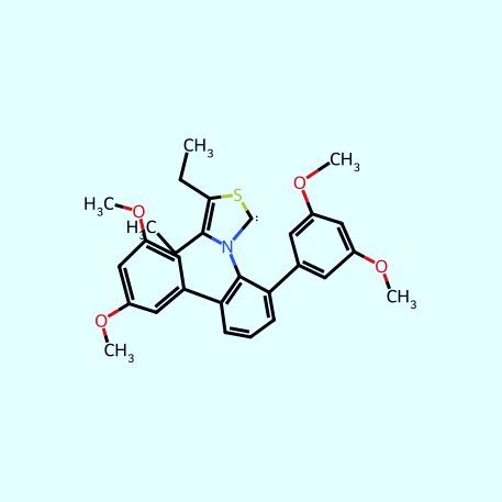 CCC1=C(CC)N(c2c(-c3cc(OC)cc(OC)c3)cccc2-c2cc(OC)cc(OC)c2)[C]S1